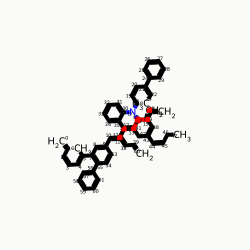 C=C/C=C\C=C(/C)c1cc(/C=C/CCC(C=C)N(C/C=C\C(=C/C)c2ccccc2)c2ccccc2C(/C=C\C=C)=C2/CC(/C=C\CC)=CC(C=C)O2)ccc1-c1ccccc1